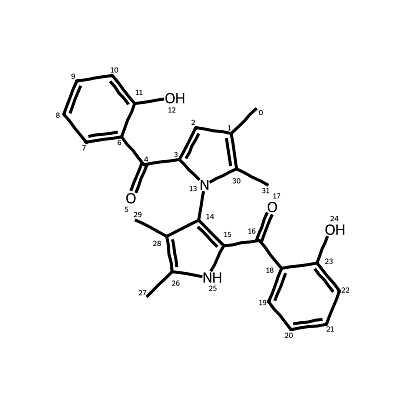 Cc1cc(C(=O)c2ccccc2O)n(-c2c(C(=O)c3ccccc3O)[nH]c(C)c2C)c1C